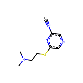 [C-]#[N+]c1cncc(SCCN(C)C)n1